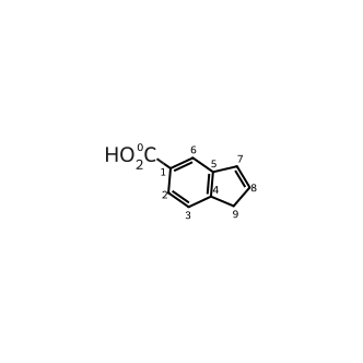 O=C(O)c1ccc2c(c1)C=CC2